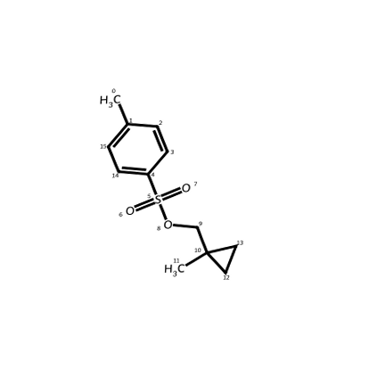 Cc1ccc(S(=O)(=O)OCC2(C)CC2)cc1